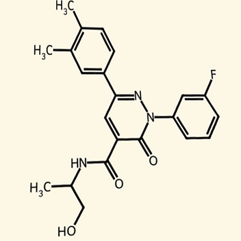 Cc1ccc(-c2cc(C(=O)NC(C)CO)c(=O)n(-c3cccc(F)c3)n2)cc1C